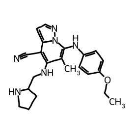 CCOc1ccc(Nc2c(C)c(NCC3CCCN3)c(C#N)c3ccnn23)cc1